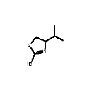 CC(C)C1CSC(S)=N1